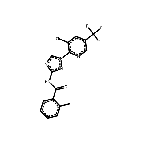 Cc1ccccc1C(=O)Nc1ncn(-c2ncc(C(F)(F)F)cc2Cl)n1